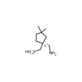 CC1(C)CC[C@](CN)(CS(=O)(=O)O)C1